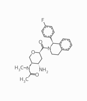 CC(=O)N(C)[C@H]1CO[C@@H](C(=O)N2CCc3ccccc3[C@@H]2c2ccc(F)cc2)C[C@@H]1N